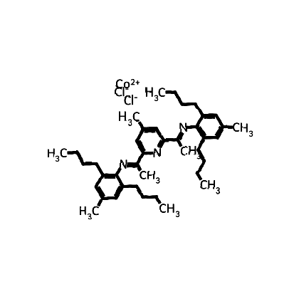 CCCCc1cc(C)cc(CCCC)c1N=C(C)c1cc(C)cc(C(C)=Nc2c(CCCC)cc(C)cc2CCCC)n1.[Cl-].[Cl-].[Co+2]